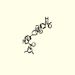 CC(=O)Nc1ccc(S(=O)(=O)N2CCC(c3ccn4ncc(C(=O)N5CC(C)CC(C)C5)c4c3)CC2)cc1